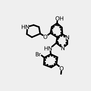 COc1ccc(Br)c(Nc2ncnc3cc(O)cc(OC4CCNCC4)c23)c1